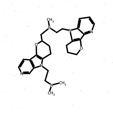 CN(C)CCn1c2c(c3ccncc31)OC(CN(C)CCn1c3c(c4ncccc41)OCCC3)CC2